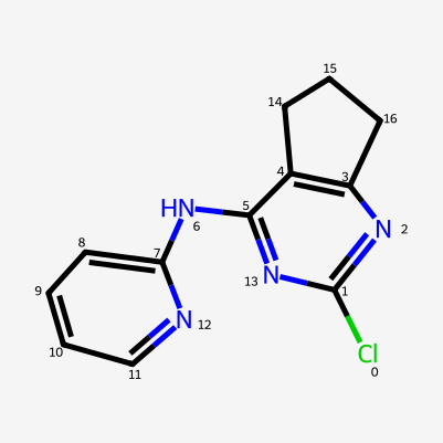 Clc1nc2c(c(Nc3ccccn3)n1)CCC2